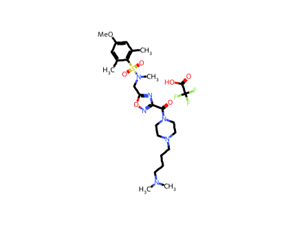 COc1cc(C)c(S(=O)(=O)N(C)Cc2nc(C(=O)N3CCN(CCCCN(C)C)CC3)no2)c(C)c1.O=C(O)C(F)(F)F